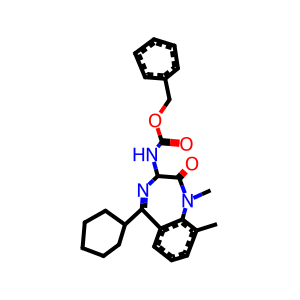 Cc1cccc2c1N(C)C(=O)C(NC(=O)OCc1ccccc1)N=C2C1CCCCC1